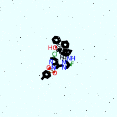 Cc1ccc(S(=O)(=O)n2cc(-c3ncc(F)c(N[C@H]4C5CC(C[C@@H]4CC(C)(C)[Si](O)(c4ccccc4)c4ccccc4)C5(C)C)n3)c3cc(Cl)cnc32)cc1